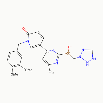 COc1ccc(Cn2cc(-c3cc(C(F)(F)F)nc([S+]([O-])CN4N=CNN4)n3)ccc2=O)cc1OC